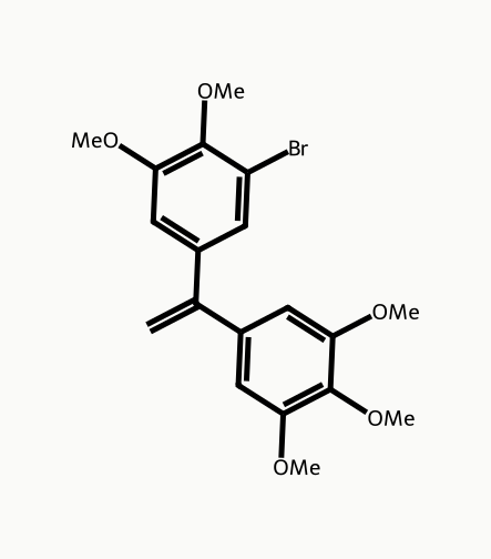 C=C(c1cc(Br)c(OC)c(OC)c1)c1cc(OC)c(OC)c(OC)c1